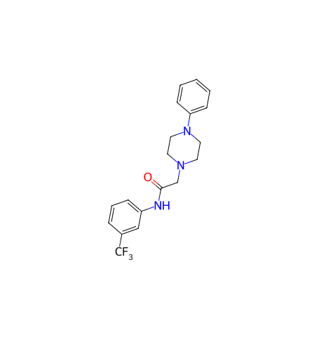 O=C(CN1CCN(c2ccccc2)CC1)Nc1cccc(C(F)(F)F)c1